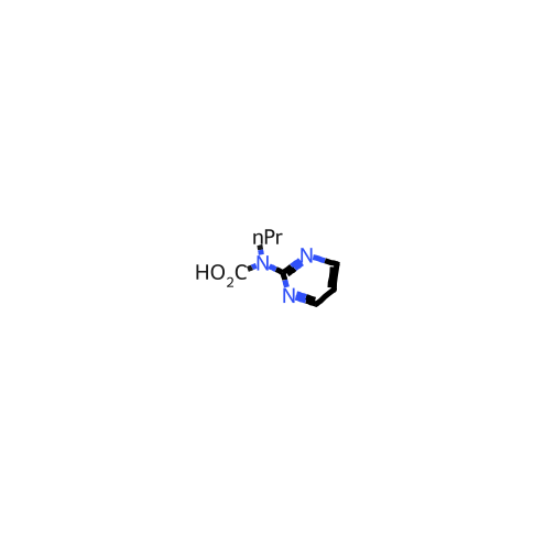 CCCN(C(=O)O)c1ncccn1